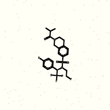 CC(C)C(=O)N1CCc2ccc(S(=O)(=O)N(CCF)[C@H](c3ccc(F)cc3)C(F)(F)F)cc2C1